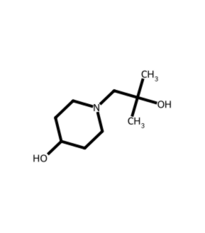 CC(C)(O)CN1CCC(O)CC1